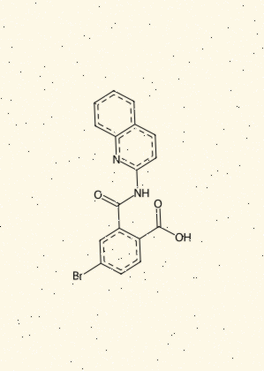 O=C(O)c1ccc(Br)cc1C(=O)Nc1ccc2ccccc2n1